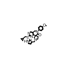 COc1ccc(N2Cc3cnc(SCC4CC4)nc3C3(CCN(Cc4cc[nH]n4)C3)C2=O)cc1